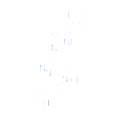 CN1OC(C[S+](C)[O-])Cn2nc3c(c2C1=O)CN(C(=O)Nc1ccc(F)c(Cl)c1)CC3